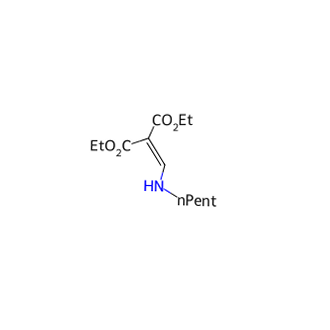 CCCCCNC=C(C(=O)OCC)C(=O)OCC